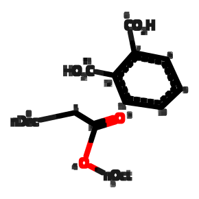 CCCCCCCCCCCC(=O)OCCCCCCCC.O=C(O)c1ccccc1C(=O)O